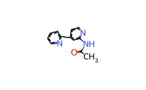 CC(=O)Nc1cc(-c2ccccn2)ccn1